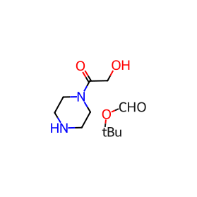 CC(C)(C)OC=O.O=C(CO)N1CCNCC1